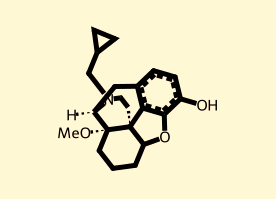 CO[C@@]12CCCC3Oc4c(O)ccc5c4[C@@]31CCN(CC1CC1)[C@@H]2C5